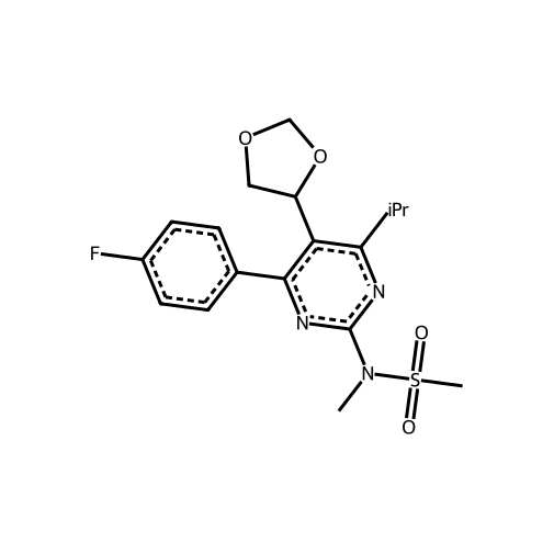 CC(C)c1nc(N(C)S(C)(=O)=O)nc(-c2ccc(F)cc2)c1C1COCO1